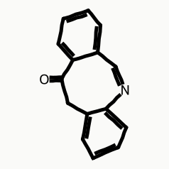 O=C1Cc2ccccc2/N=C\c2ccccc21